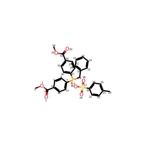 COC(=O)c1ccc([PH](Cc2ccccc2)(OS(=O)(=O)c2ccc(C)cc2)c2ccc(C(=O)OC)cc2)cc1